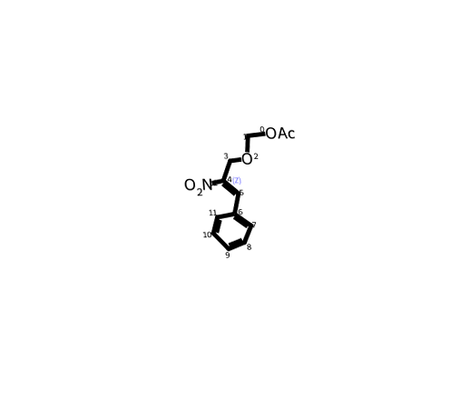 CC(=O)OCOC/C(=C/c1ccccc1)[N+](=O)[O-]